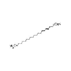 C=CCCCCCCCCCCCCCCC=CCCCCCCCCCCCC